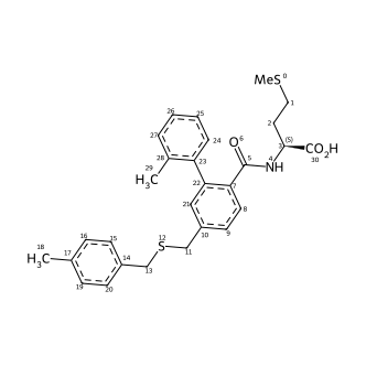 CSCC[C@H](NC(=O)c1ccc(CSCc2ccc(C)cc2)cc1-c1ccccc1C)C(=O)O